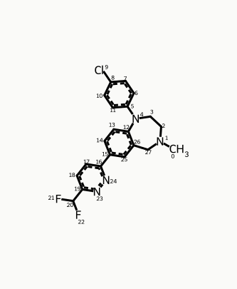 CN1CCN(c2ccc(Cl)cc2)c2ccc(-c3ccc(C(F)F)nn3)cc2C1